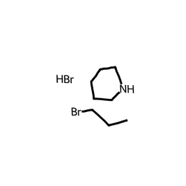 Br.C1CCNCC1.CCCBr